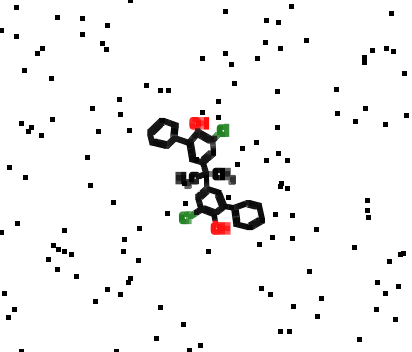 CC(C)(c1cc(Cl)c(O)c(-c2ccccc2)c1)c1cc(Cl)c(O)c(-c2ccccc2)c1